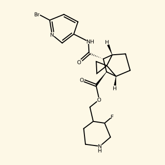 O=C(OCC1CCNCC1F)[C@H]1[C@H](C(=O)Nc2ccc(Br)nc2)[C@@H]2CC[C@H]1C21CC1